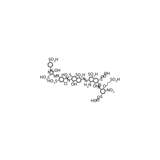 Nc1c(N=Nc2ccc3c(O)c(N=Nc4cc(/N=N/c5c(C(=O)O)nn(-c6ccc(S(=O)(=O)O)cc6)c5O)c(S(=O)(=O)O)cc4Cl)c(S(=O)(=O)O)cc3c2S(=O)(=O)O)cc(S(=O)(=O)O)c2cc(SOOO)c(N=Nc3cc(SOOO)cc([N+](=O)[O-])c3OCCCS(=O)(=O)O)c(O)c12